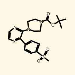 CC(C)(C)OC(=O)N1CCN(c2nccnc2-c2ccc(S(C)(=O)=O)cc2)CC1